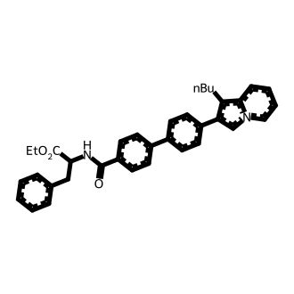 CCCCc1c(-c2ccc(-c3ccc(C(=O)NC(Cc4ccccc4)C(=O)OCC)cc3)cc2)cn2ccccc12